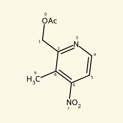 CC(=O)OCc1nccc([N+](=O)[O-])c1C